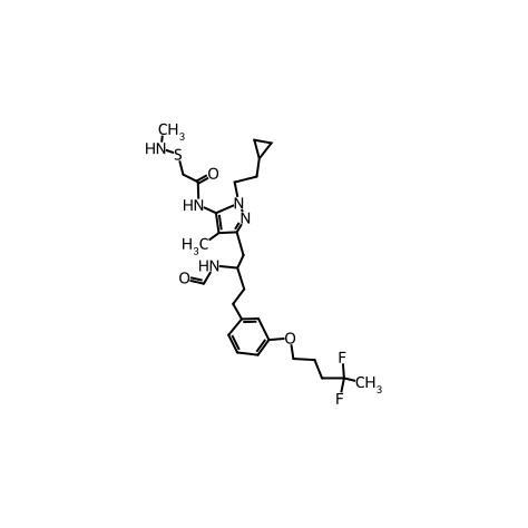 CNSCC(=O)Nc1c(C)c(CC(CCc2cccc(OCCCC(C)(F)F)c2)NC=O)nn1CCC1CC1